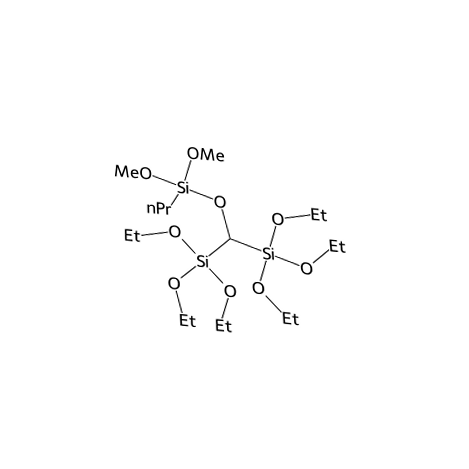 CCC[Si](OC)(OC)OC([Si](OCC)(OCC)OCC)[Si](OCC)(OCC)OCC